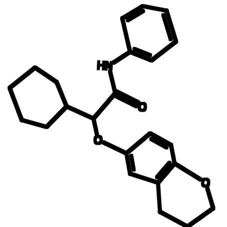 O=C(Nc1ccccc1)C(Oc1ccc2c(c1)CCCO2)C1CCCCC1